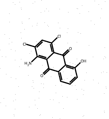 Nc1c(Cl)cc(Cl)c2c1C(=O)c1cccc(O)c1C2=O